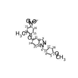 COc1ccc(Cn2ncc3cc(Oc4ccc([N+](=O)[O-])cc4C)ccc32)cc1